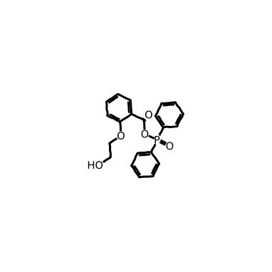 O=C(OP(=O)(c1ccccc1)c1ccccc1)c1ccccc1OCCO